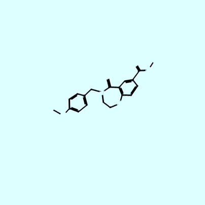 COC(=O)c1ccc2c(c1)C(=O)N(Cc1ccc(OC)cc1)CCO2